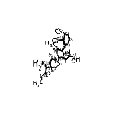 C=C[C@@H]1OCC2(CCN(c3nc(C)c(-c4cccc(Cl)c4Cl)n4nc(CO)cc34)CC2)[C@@H]1N